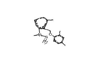 Cc1ccc(OCc2c(C)cccc2N(C)N)c(C)c1